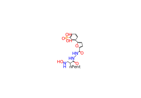 CCCCCC(CNO)C(=O)NCNC(=O)c1ccc(-c2cccc(P(=O)(O)O)c2)o1